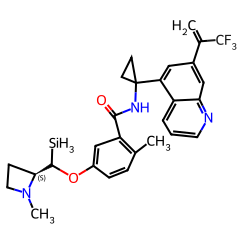 C=C(c1cc(C2(NC(=O)c3cc(OC([SiH3])[C@@H]4CCN4C)ccc3C)CC2)c2cccnc2c1)C(F)(F)F